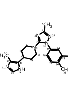 Cc1nc(N2CCC(c3[nH]cnc3C)CC2)n(-c2ccc(C)c(Cl)c2)n1